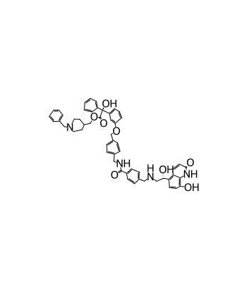 O=C(NCc1ccc(COc2cccc([C@](O)(C(=O)OCC3CCN(Cc4ccccc4)CC3)c3ccccc3)c2)cc1)c1ccc(CNC[C@H](O)c2ccc(O)c3[nH]c(=O)ccc23)cc1